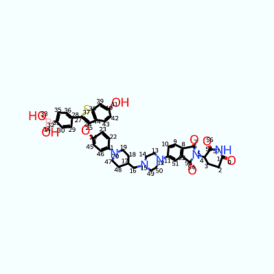 O=C1CCC(N2C(=O)c3ccc(N4CCN(CC5CCN(c6ccc(Oc7c(-c8ccc(B(O)O)cc8)sc8cc(O)ccc78)cc6)CC5)CC4)cc3C2=O)C(=O)N1